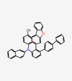 N#Cc1ccc(N(c2ccc3ccccc3c2)c2cccc(-c3ccc(-c4ccccc4)cc3)c2-c2ccc3c(c2)oc2ccccc23)cc1